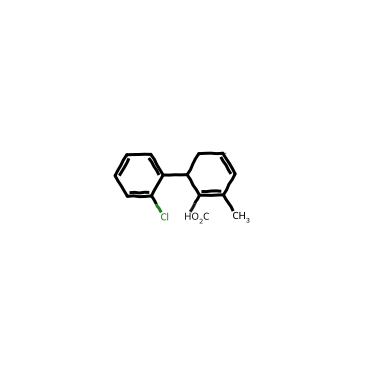 CC1=C(C(=O)O)C(c2ccccc2Cl)C[C]=C1